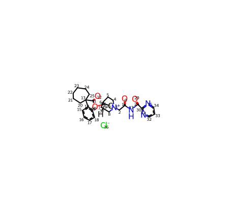 O=C(C[N+]12CCC(CC1)[C@@H](OC(=O)C1(c3ccccc3)CCCCCC1)C2)NC(=O)c1ncccn1.[Cl-]